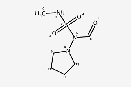 CNS(=O)(=O)N(C=O)N1CCCC1